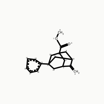 C=C1C2CC3(C(=O)OC)CC1CC(c1ccccc1)(C2)C3